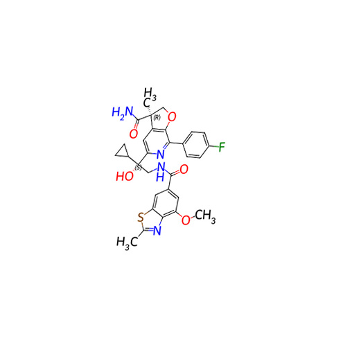 COc1cc(C(=O)NC[C@](O)(c2cc3c(c(-c4ccc(F)cc4)n2)OC[C@]3(C)C(N)=O)C2CC2)cc2sc(C)nc12